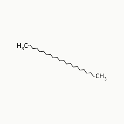 CCCCCCCCCCCCCCCCCCCCCC